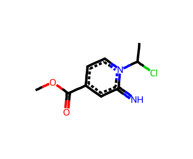 COC(=O)c1ccn(C(C)Cl)c(=N)c1